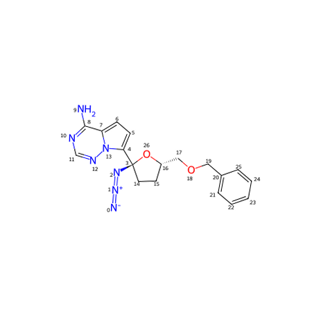 [N-]=[N+]=N[C@]1(c2ccc3c(N)ncnn23)CC[C@@H](COCc2ccccc2)O1